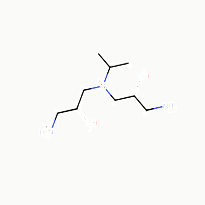 CC(C)N(C[C@H](O)CN)C[C@H](O)CN